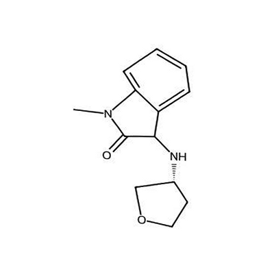 CN1C(=O)C(N[C@@H]2CCOC2)c2ccccc21